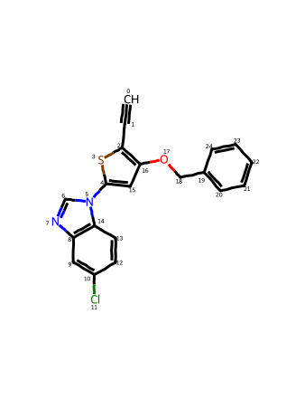 C#Cc1sc(-n2cnc3cc(Cl)ccc32)cc1OCc1ccccc1